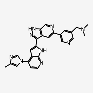 Cc1cn(-c2ccnc3[nH]c(-c4n[nH]c5cnc(-c6cncc(CN(C)C)c6)cc45)cc23)cn1